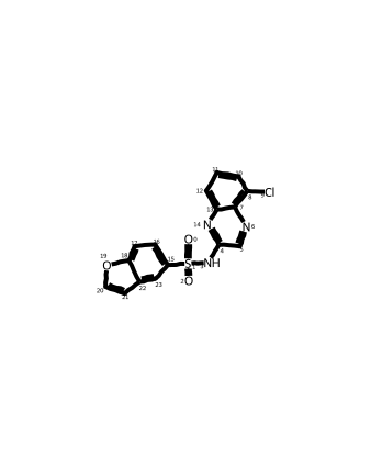 O=S(=O)(Nc1cnc2c(Cl)cccc2n1)c1ccc2occc2c1